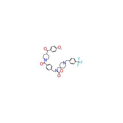 COc1ccc(C(=O)C2CCN(C(=O)c3ccc(CN4CC5(CCN(Cc6ccc(C(F)(F)F)cc6)CC5)OC4=O)cc3)CC2)cc1